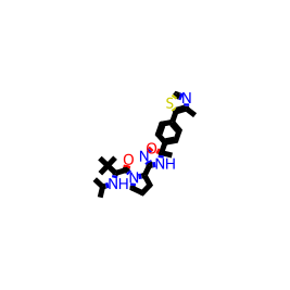 Cc1ncsc1-c1ccc(C2(C)NC(C3CCCN3C(=O)C(NC(C)C)C(C)(C)C)=NO2)cc1